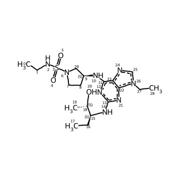 CCNS(=O)(=O)N1CC[C@H](Nc2nc(N[C@@H](CC)[C@H](C)O)nc3c2ncn3CC)C1